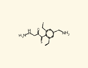 CCc1cc(CN)cc(CC)c1C(=S)C(=O)CNN